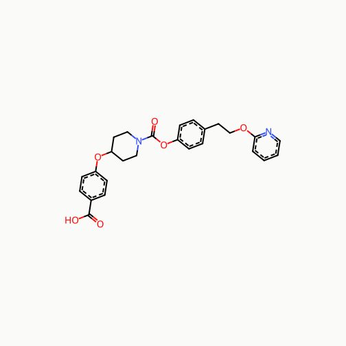 O=C(O)c1ccc(OC2CCN(C(=O)Oc3ccc(CCOc4ccccn4)cc3)CC2)cc1